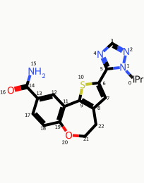 CC(C)n1ncnc1-c1cc2c(s1)-c1cc(C(N)=O)ccc1OCC2